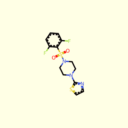 O=S(=O)(c1c(F)cccc1F)N1CCN(c2nccs2)CC1